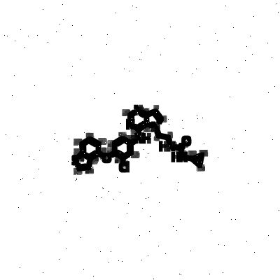 O=C(NCCn1ccc2ncnc(Nc3ccc(Oc4cccc5sccc45)c(Cl)c3)c21)NC1CC1